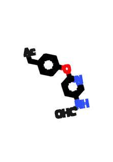 CC(=O)Cc1ccc(Oc2ccc(NC=O)cn2)cc1